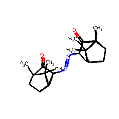 CC12CCC(C(N=NC3C(=O)C4(C)CCC3C4(C)C)C1=O)C2(C)C